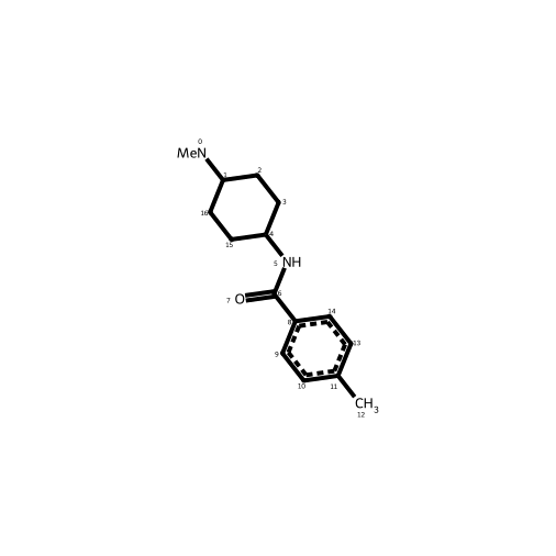 CNC1CCC(NC(=O)c2ccc(C)cc2)CC1